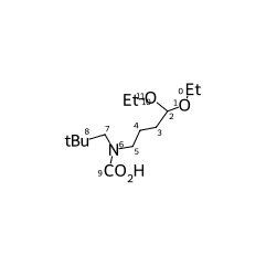 CCOC(CCCN(CC(C)(C)C)C(=O)O)OCC